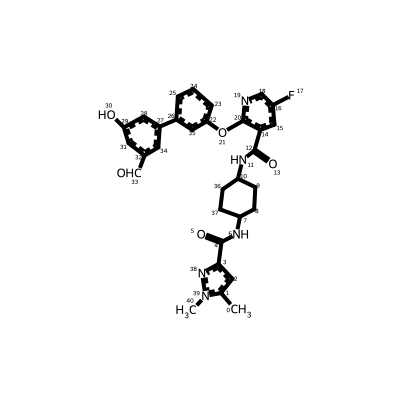 Cc1cc(C(=O)NC2CCC(NC(=O)c3cc(F)cnc3Oc3cccc(-c4cc(O)cc(C=O)c4)c3)CC2)nn1C